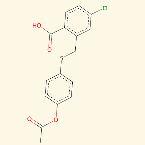 CC(=O)Oc1ccc(SCc2cc(Cl)ccc2C(=O)O)cc1